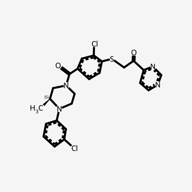 C[C@H]1CN(C(=O)c2ccc(SCC(=O)c3ccncn3)c(Cl)c2)CCN1c1cccc(Cl)c1